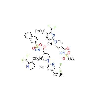 CCCCS(=O)(=O)NC(=O)C1CCN(c2nc(C(F)F)c(C(=O)OCC)cc2C#N)CC1.CCOC(=O)c1cc(C#N)c(N2CCC(C(=O)NS(=O)(=O)c3ccc4ccccc4c3)CC2)nc1C(F)F.O=C(O)c1cccnc1C(F)F